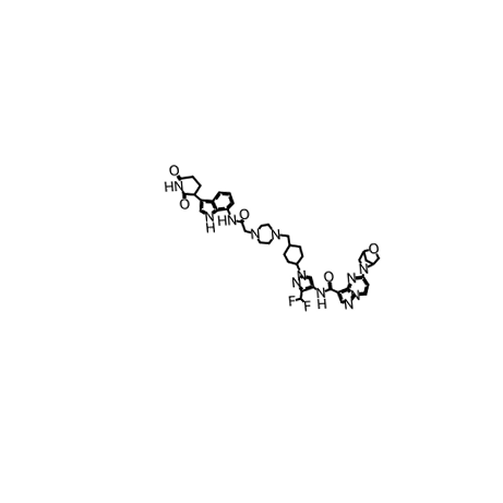 O=C1CCC(c2c[nH]c3c(NC(=O)CN4CCN(CC5CCC(n6cc(NC(=O)c7cnn8ccc(N9CC%10CC9CO%10)nc78)c(C(F)F)n6)CC5)CC4)cccc23)C(=O)N1